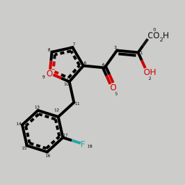 O=C(O)C(O)=CC(=O)c1ccoc1Cc1ccccc1F